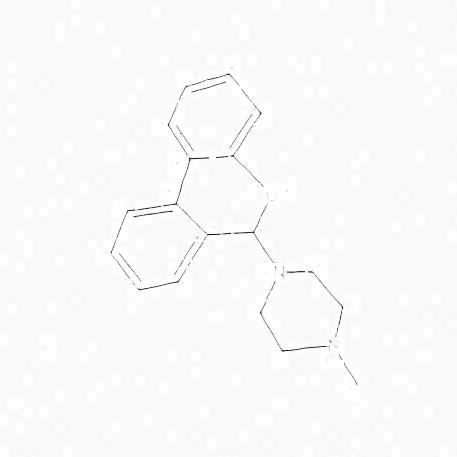 CN1CCN(C2Oc3ccccc3-c3ccccc32)CC1